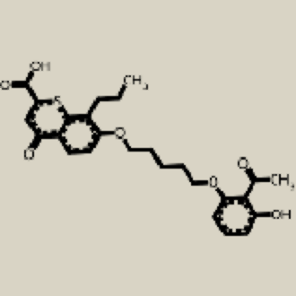 CCCc1c(OCCCCCOc2cccc(O)c2C(C)=O)ccc2c(=O)cc(C(=O)O)sc12